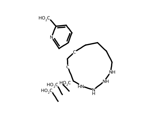 C1CCCCNNNNCCC1.CC(=O)O.CC(=O)O.CC(=O)O.O=C(O)c1ccccn1